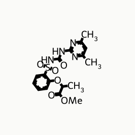 COC(=O)C(C)Oc1ccccc1S(=O)(=O)NC(=O)Nc1nc(C)cc(C)n1